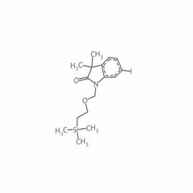 CC1(C)C(=O)N(COCC[Si](C)(C)C)c2cc(I)ccc21